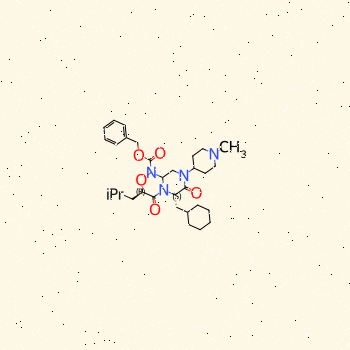 CC(C)C[C@H]1ON(C(=O)OCc2ccccc2)C2CN(C3CCN(C)CC3)C(=O)[C@H](CC3CCCCC3)N2C1=O